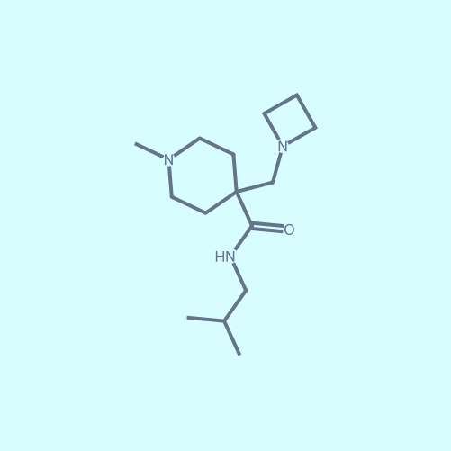 CC(C)CNC(=O)C1(CN2CCC2)CCN(C)CC1